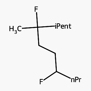 CCCC(F)CCC(C)(F)C(C)CCC